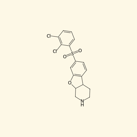 O=S(=O)(c1ccc2c(c1)OC1CNCCC21)c1cccc(Cl)c1Cl